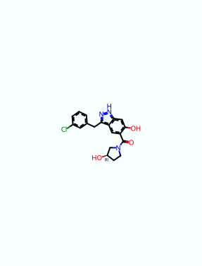 O=C(c1cc2c(Cc3cccc(Cl)c3)n[nH]c2cc1O)N1CC[C@@H](O)C1